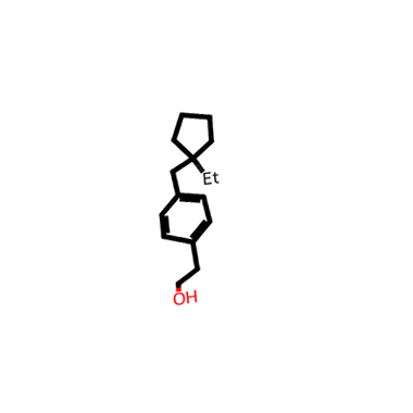 CCC1(Cc2ccc(CCO)cc2)CCCC1